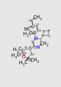 C=N/C(=C\N(CC1CCC1)C(=C)/C=C\C(C#N)=C/C)C1CC(C)(C)OC(C)(C)C1